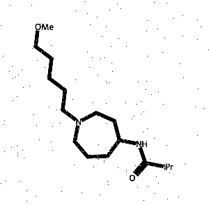 COCCCCCN1CCCC(NC(=O)C(C)C)CC1